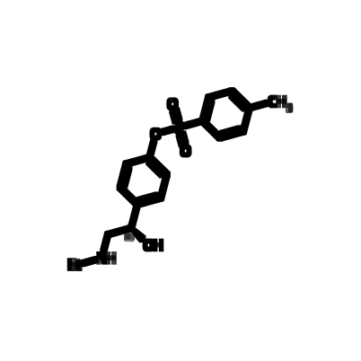 CCNC[C@H](O)c1ccc(OS(=O)(=O)c2ccc(C)cc2)cc1